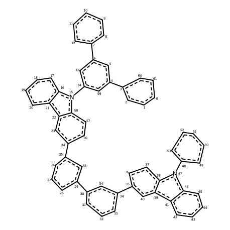 c1ccc(-c2cc(-c3ccccc3)cc(-n3c4ccccc4c4cc(-c5cccc(-c6cccc(-c7ccc8c(c7)c7ccccc7n8-c7ccccc7)c6)c5)ccc43)c2)cc1